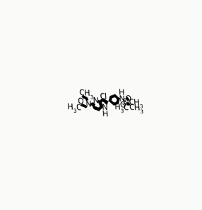 C[C@@H]1CN(c2ccc3[nH]c([C@H]4CC[C@H](NS(=O)(=O)C(C)(C)C)CC4)c(Cl)c3n2)C[C@H](C)O1